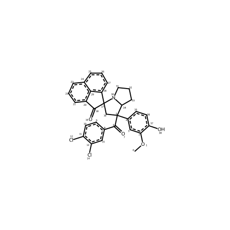 COc1cc(C2(C(=O)c3ccc(Cl)c(Cl)c3)CC3(C(=O)c4cccc5cccc3c45)N3CCCC32)ccc1O